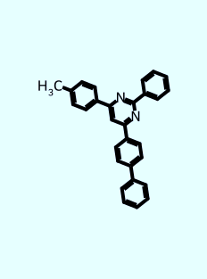 Cc1ccc(-c2cc(-c3ccc(-c4ccccc4)cc3)nc(-c3ccccc3)n2)cc1